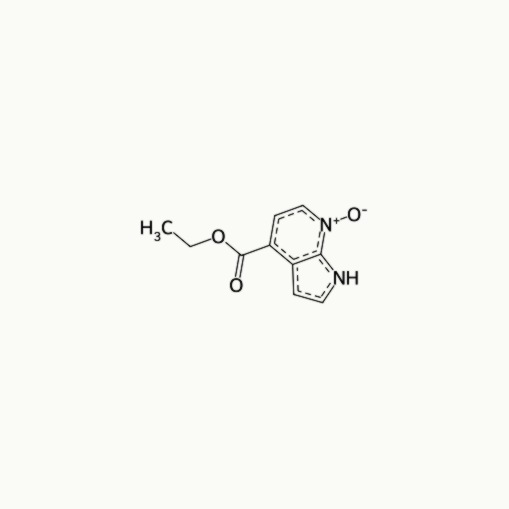 CCOC(=O)c1cc[n+]([O-])c2[nH]ccc12